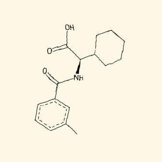 Cc1cccc(C(=O)N[C@@H](C(=O)O)C2CCCCC2)c1